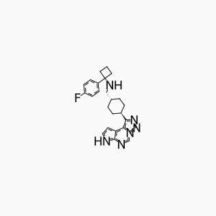 Fc1ccc(C2(NC[C@H]3CC[C@H](c4nnn5cnc6[nH]ccc6c45)CC3)CCC2)cc1